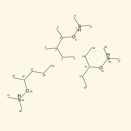 CCC(C)C(C)O[SiH](C)C.CCC(CC)O[SiH](C)C.CCCC(C)O[SiH](C)C